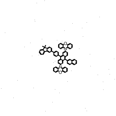 CC1(C)c2ccccc2-c2cc(-c3ccc(-c4c5ccc(N6c7ccccc7Oc7ccccc76)cc5c(-c5ccc6ccccc6c5)c5ccc(N6c7ccccc7Oc7ccccc76)cc45)cc3)ccc21